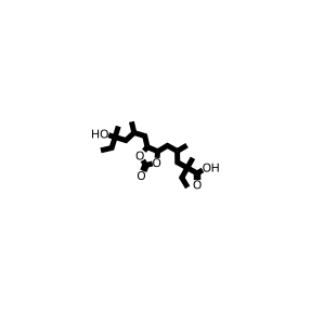 CCC(C)(O)CC(C)CC1OC(=O)OC1CC(C)CC(C)(CC)C(=O)O